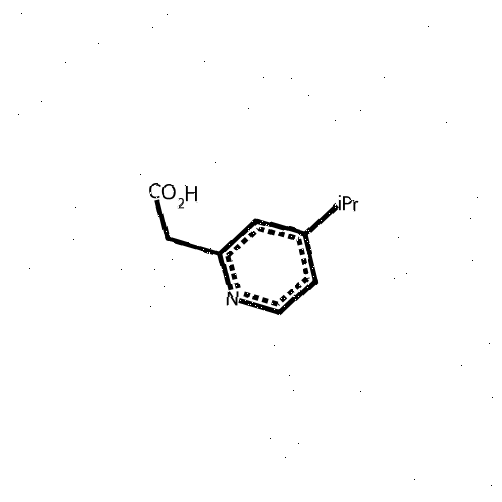 CC(C)c1ccnc(CC(=O)O)c1